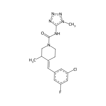 CC1CN(C(=O)Nc2nnnn2C)CCC1=Cc1cc(F)cc(Cl)c1